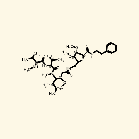 CC[C@H](C)C([C@@H](CC(=O)NCC1O[C@@H](C(=O)NCCc2ccccc2)[C@@H](OC)[C@@H]1OC)OC)N(C)C(=O)[C@@H](NC(=O)[C@@H](NC)C(C)C)C(C)C